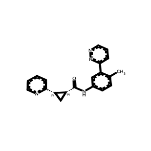 Cc1ccc(NC(=O)[C@@H]2C[C@@H]2c2ccccn2)cc1-c1cccnn1